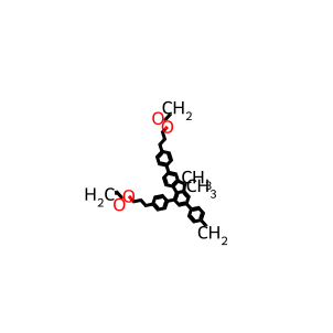 C=CC(=O)OCCCc1ccc(-c2ccc3c(c2)C(C)(C)c2cc(-c4ccc(C=C)cc4)cc(-c4ccc(CCCOC(=O)C=C)cc4)c2-3)cc1